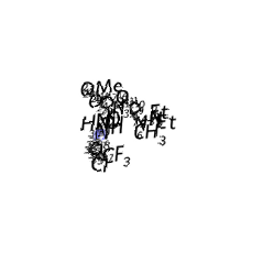 CCN(CC)CCN(C)Cc1cccc(C(=O)Nc2ccc(OCCOC)cc2C(=O)N/N=C/c2ccc(Cl)c(C(F)(F)F)c2)c1